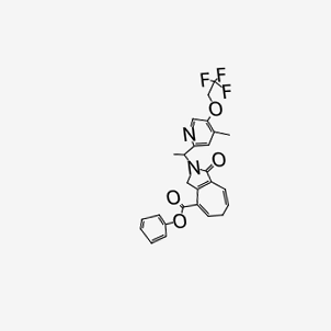 Cc1cc(C(C)N2CC3=C(C=CCC=C3C(=O)Oc3ccccc3)C2=O)ncc1OCC(F)(F)F